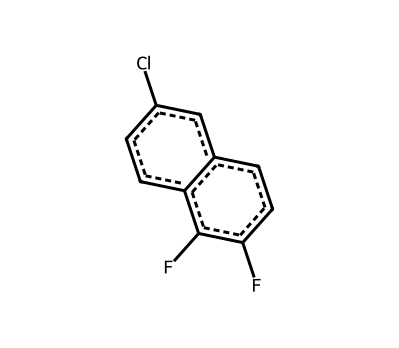 Fc1ccc2cc(Cl)ccc2c1F